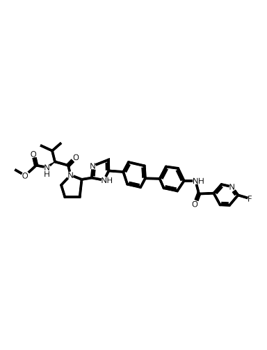 COC(=O)N[C@H](C(=O)N1CCCC1c1ncc(-c2ccc(-c3ccc(NC(=O)c4ccc(F)nc4)cc3)cc2)[nH]1)C(C)C